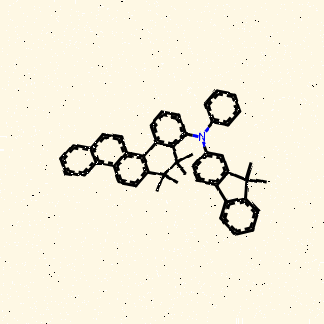 CC1(C)c2ccccc2-c2ccc(N(c3ccccc3)c3cccc4c3C(C)(C)C(C)(C)c3ccc5c(ccc6ccccc65)c3-4)cc21